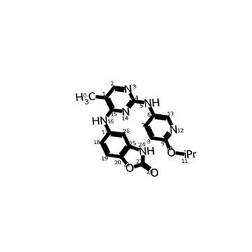 Cc1cnc(Nc2ccc(OC(C)C)nc2)nc1Nc1ccc2oc(=O)[nH]c2c1